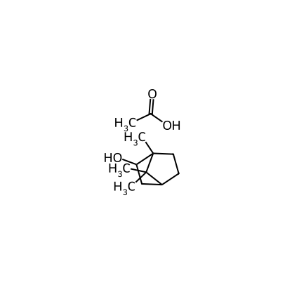 CC(=O)O.CC1(C)C2CCC1(C)C(O)C2